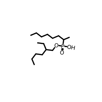 CCCCCCC(C)P(=O)(O)OCC(CC)CCCC